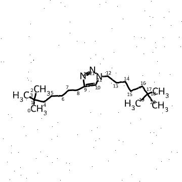 CC(C)(C)CCCCCc1cn(CCCCCC(C)(C)C)nn1